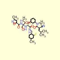 CCN(C(=O)C(C#N)=CC(C)C)c1cccc(C[C@H](N[C@](C=O)(NC(=O)c2cc(C)no2)[C@@H](C)O)C(=O)NCc2ccc(C)cc2F)c1